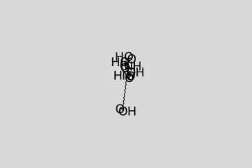 O=C(O)CCCCCCCCCCCCCCCCC(=O)N[C@@H](CCC(=O)N[C@@H](CCC(=O)O)C(=O)O)C(=O)O